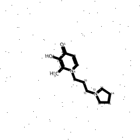 Cc1c(O)c(=O)ccn1CCCN1CCCC1